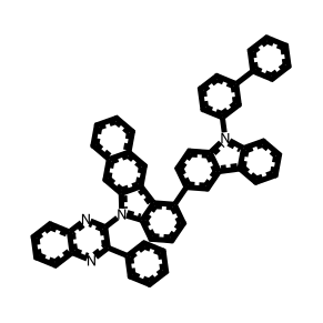 c1ccc(-c2cccc(-n3c4ccccc4c4cc(-c5cccc6c5c5cc7ccccc7cc5n6-c5nc6ccccc6nc5-c5ccccc5)ccc43)c2)cc1